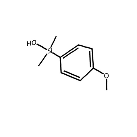 COc1ccc([Si](C)(C)O)cc1